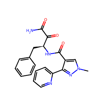 Cn1cc(C(=O)N[C@@H](Cc2ccccc2)C(=O)C(N)=O)c(-c2ccccn2)n1